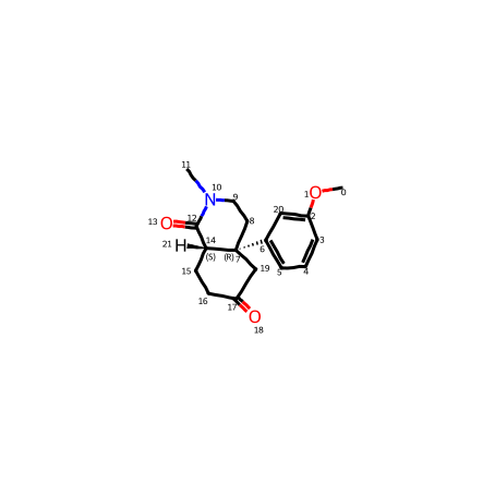 COc1cccc([C@@]23CCN(C)C(=O)[C@H]2CCC(=O)C3)c1